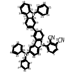 N#Cc1cccc(-n2c3ccc(-c4ccc5c6ccccc6n(-c6ccccc6)c5c4)cc3c3cc(N(c4ccccc4)c4ccccc4)ccc32)c1C#N